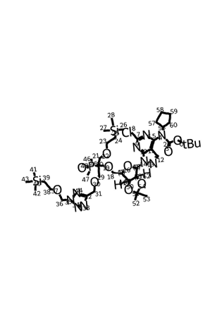 CC(C)(C)OC(=O)N(c1nc(Cl)nc2c1cnn2[C@@H]1O[C@H](COC(COCC[Si](C)(C)C)(COCc2nnn(COCC[Si](C)(C)C)n2)P(C)(C)=O)[C@H]2OC(C)(C)O[C@H]21)C1CCCC1